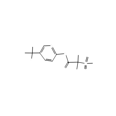 CC(C)(C(=O)Nc1ccc(C(F)(F)F)cn1)S(C)(=O)=O